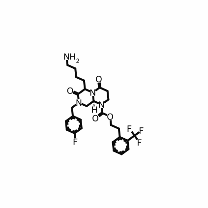 NCCCCC1C(=O)N(Cc2ccc(F)cc2)C[C@@H]2N(C(=O)OCCc3ccccc3C(F)(F)F)CCC(=O)N12